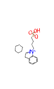 C1CCCCC1.O=S(=O)(O)CCCC[N+]1=CCc2ccccc21